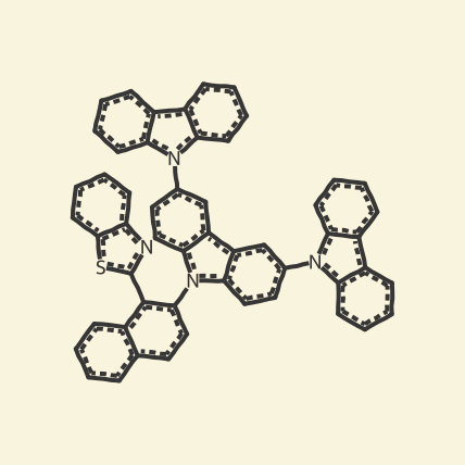 c1ccc2c(-c3nc4ccccc4s3)c(-n3c4ccc(-n5c6ccccc6c6ccccc65)cc4c4cc(-n5c6ccccc6c6ccccc65)ccc43)ccc2c1